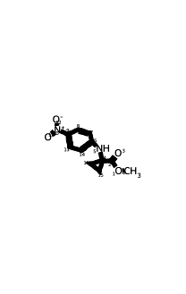 COC(=O)C1(Nc2ccc([N+](=O)[O-])cc2)CC1